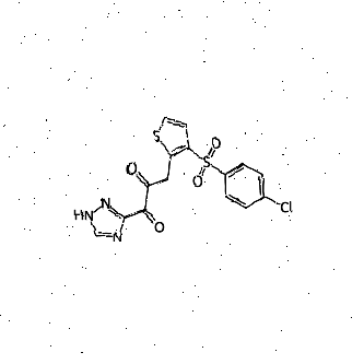 O=C(Cc1sccc1S(=O)(=O)c1ccc(Cl)cc1)C(=O)c1nc[nH]n1